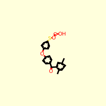 Cc1ccc(C)c(C(=O)c2ccc(Oc3ccc(SOOO)cc3)cc2)c1